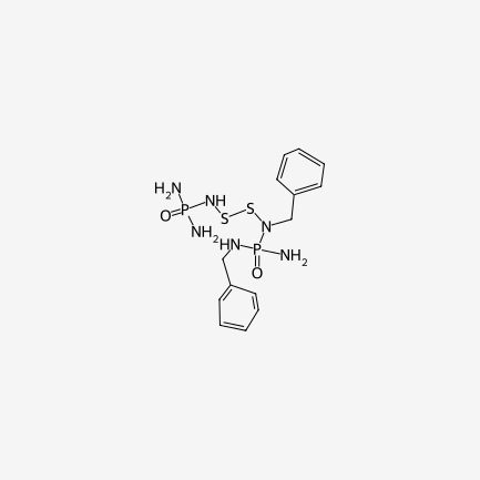 NP(N)(=O)NSSN(Cc1ccccc1)P(N)(=O)NCc1ccccc1